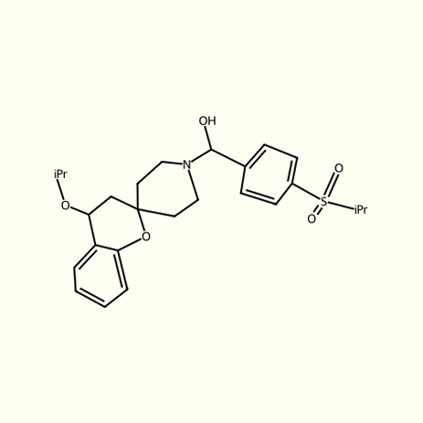 CC(C)OC1CC2(CCN(C(O)c3ccc(S(=O)(=O)C(C)C)cc3)CC2)Oc2ccccc21